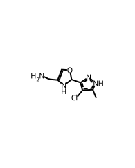 Cc1[nH]nc(C2NC(CN)=CO2)c1Cl